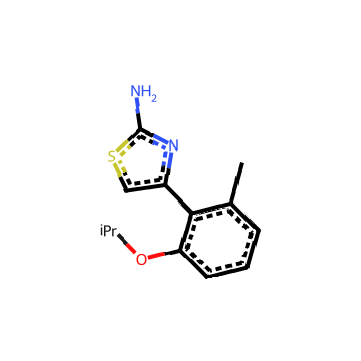 Cc1cccc(OC(C)C)c1-c1csc(N)n1